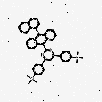 C[Si](C)(C)c1ccc(-c2cc(-c3ccc([Si](C)(C)C)cc3)nc(-c3c4ccccc4c(-c4cccc5ccccc45)c4ccccc34)n2)cc1